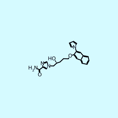 NC(=O)c1cn(C[C@@H](O)CCCOc2cc3ccccc3cc2-n2cccc2)cn1